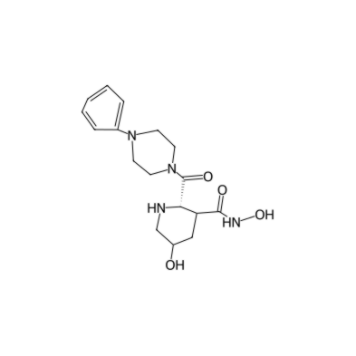 O=C(NO)C1CC(O)CN[C@@H]1C(=O)N1CCN(c2ccccc2)CC1